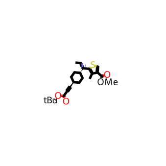 C/C=C(/c1scc(C(=O)OC)c1C)[C@H]1CC[C@H](C#CC(=O)OC(C)(C)C)CC1